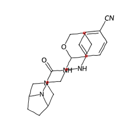 N#Cc1ccc(NCCCN2C3CCC2CN(C(=O)NC2CCCCO2)C3)cc1